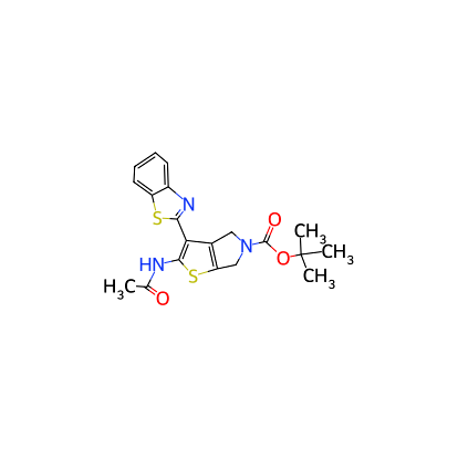 CC(=O)Nc1sc2c(c1-c1nc3ccccc3s1)CN(C(=O)OC(C)(C)C)C2